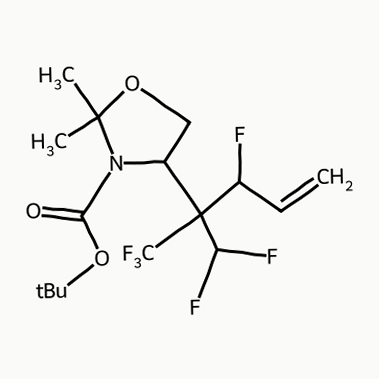 C=CC(F)C(C(F)F)(C1COC(C)(C)N1C(=O)OC(C)(C)C)C(F)(F)F